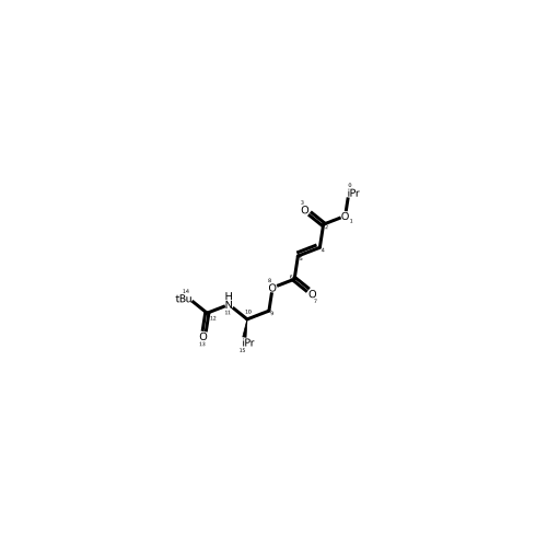 CC(C)OC(=O)/C=C/C(=O)OC[C@H](NC(=O)C(C)(C)C)C(C)C